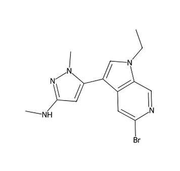 CCn1cc(-c2cc(NC)nn2C)c2cc(Br)ncc21